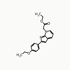 CCOC(=O)Cn1cccc2cc(-c3ccc(OCC)cc3)nc1-2